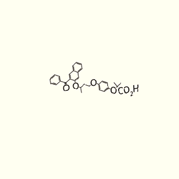 CC(CCOc1ccc(OC(C)(C)C(=O)O)cc1)Oc1cc2ccccc2cc1C(=O)c1ccccc1